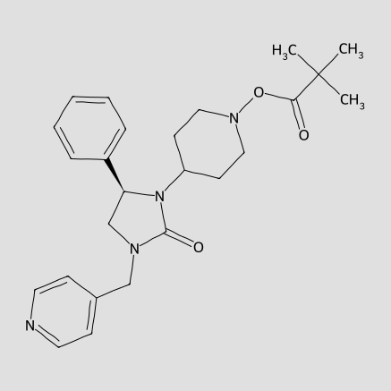 CC(C)(C)C(=O)ON1CCC(N2C(=O)N(Cc3ccncc3)C[C@H]2c2ccccc2)CC1